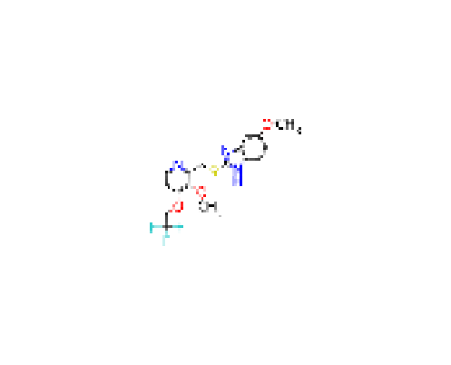 COc1ccc2[nH]c(SCc3nccc(OCC(F)(F)F)c3OC)nc2c1